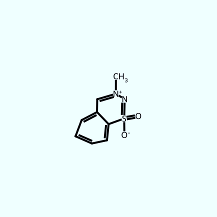 C[N+]1=Cc2ccccc2S(=O)([O-])=N1